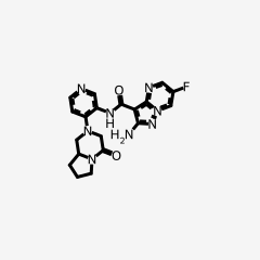 Nc1nn2cc(F)cnc2c1C(=O)Nc1cnccc1N1CC(=O)N2CCCC2C1